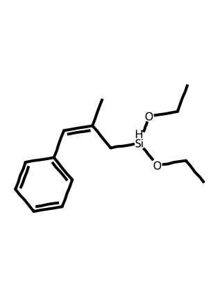 CCO[SiH](CC(C)=Cc1ccccc1)OCC